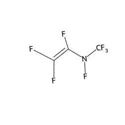 FC(F)=C(F)N(F)C(F)(F)F